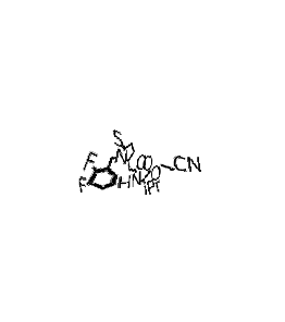 CC(C)[C@H](NC(=O)C[C@@H]1CCC(=S)N1Cc1cccc(F)c1F)C(=O)OCCC#N